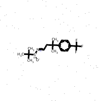 CC(C)(C/C=N/[S@+]([O-])C(C)(C)C)c1ccc(C(F)(F)F)cc1